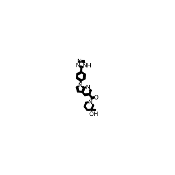 CC1(O)CCCN(C(=O)c2cnc3c(ccn3-c3ccc(-c4nnc[nH]4)cc3)c2)C1